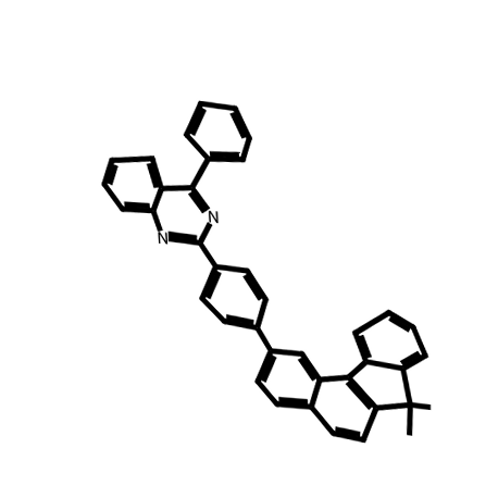 CC1(C)c2ccccc2-c2c1ccc1ccc(-c3ccc(-c4nc(-c5ccccc5)c5ccccc5n4)cc3)cc21